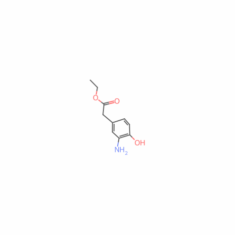 CCOC(=O)Cc1ccc(O)c(N)c1